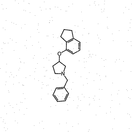 c1ccc(CN2CCC(Oc3cccc4c3CCC4)C2)cc1